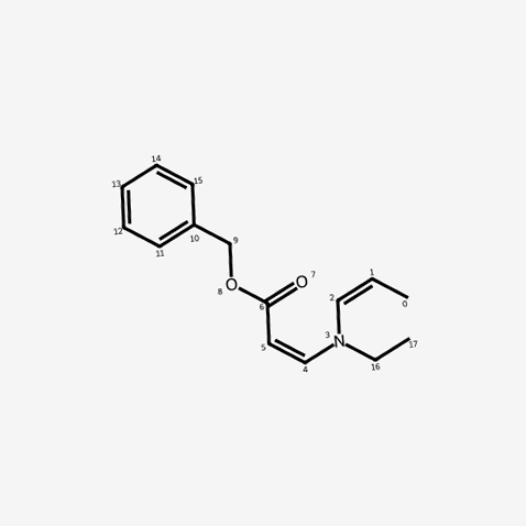 C/C=C\N(/C=C\C(=O)OCc1ccccc1)CC